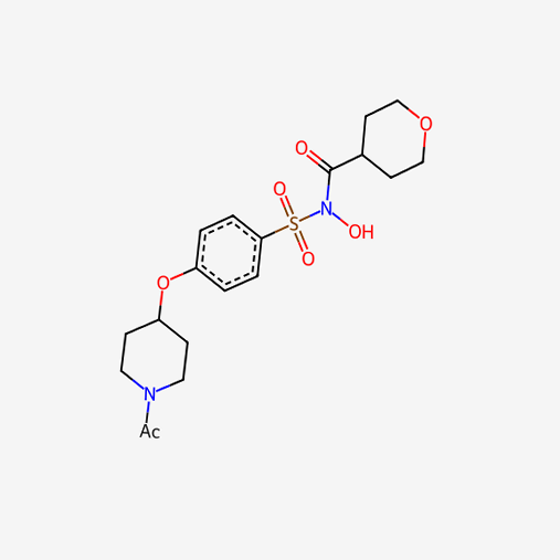 CC(=O)N1CCC(Oc2ccc(S(=O)(=O)N(O)C(=O)C3CCOCC3)cc2)CC1